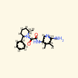 Cc1c(NC(=O)C(=O)N2C(c3ccccc3)CCC[C@H]2C)cnc(N)c1C